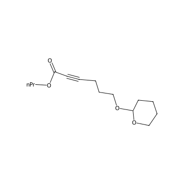 CCCOC(=O)C#CCCCOC1CCCCO1